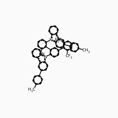 Cc1ccc(-c2ccc3c(c2)c2ccccc2n3-c2ccc(-c3c(C(F)(F)F)cccc3C(F)(F)F)cc2-c2c(C#N)cccc2-n2c3ccccc3c3cc(-c4ccc(C)cc4)ccc32)cc1